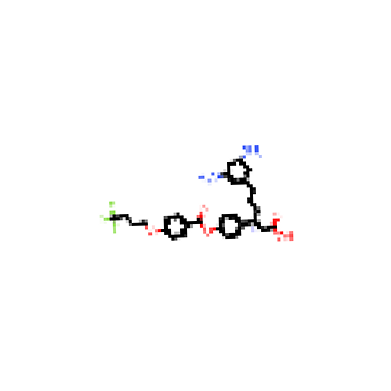 Nc1cc(N)cc(CCC/C(=C\C(=O)O)c2ccc(OC(=O)c3ccc(OCCCC(F)(F)F)cc3)cc2)c1